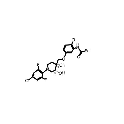 CCC(=O)Nc1cc(OC[C@]2(O)CCN(c3c(F)cc(Cl)cc3F)C[C@H]2O)ccc1Cl